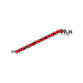 C=C(C)C(=O)O.C=C(C)C(=O)O.OCCOCCOCCOCCOCCOCCOCCOCCOCCOCCOCCOCCOCCOCCOCCOCCOCCOCCOCCOCCOCCOCCOCCO